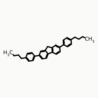 CCCCc1ccc(-c2[c]c3c(cc2)-c2ccc(-c4ccc(CCCC)cc4)cc2C3)cc1